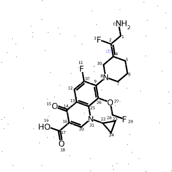 NC/C(F)=C1\CCCN(c2c(F)cc3c(=O)c(C(=O)O)cn(C4CC4)c3c2OCF)C1